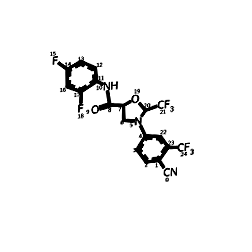 N#Cc1ccc(N2CC(C(=O)Nc3ccc(F)cc3F)OC2C(F)(F)F)cc1C(F)(F)F